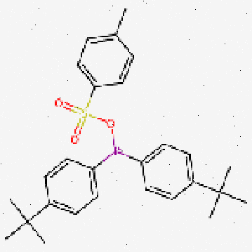 Cc1ccc(S(=O)(=O)O[I+](c2ccc(C(C)(C)C)cc2)c2ccc(C(C)(C)C)cc2)cc1